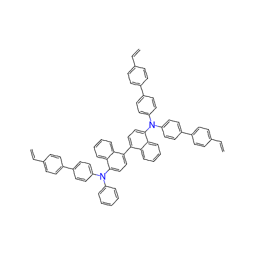 C=Cc1ccc(-c2ccc(N(c3ccccc3)c3ccc(-c4ccc(N(c5ccc(-c6ccc(C=C)cc6)cc5)c5ccc(-c6ccc(C=C)cc6)cc5)c5ccccc45)c4ccccc34)cc2)cc1